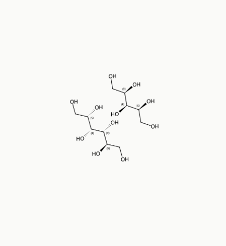 OC[C@@H](O)[C@@H](O)[C@H](O)[C@@H](O)CO.OC[C@@H](O)[C@H](O)[C@@H](O)CO